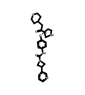 O=C(Nc1ccc(O[C@]2(C(=O)CC3CCOCC3)CCNC2)cc1)N1CC(c2cccnc2)C1